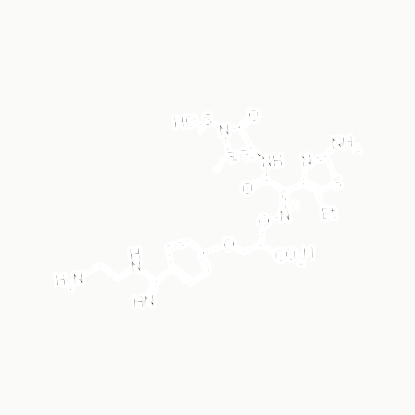 CCc1sc(N)nc1/C(=N/OC(COc1ccc(C(=N)NCCN)cc1)C(=O)O)C(=O)N[C@@H]1C(=O)N(S(=O)(=O)O)[C@H]1C